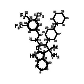 CC(=O)C(N)(c1c[nH]c2ccccc12)C(C(=O)N(C)Cc1cc(C(F)(F)F)c(C(F)(F)F)c(C(F)(F)F)c1)N1CCC(N2CCCCC2)CC1